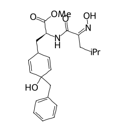 COC(=O)[C@H](CC1C=CC(O)(Cc2ccccc2)C=C1)NC(=O)/C(CC(C)C)=N\O